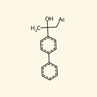 CC(=O)CC(C)(O)c1ccc(-c2ccccc2)cc1